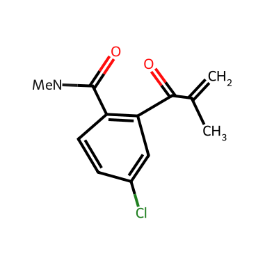 C=C(C)C(=O)c1cc(Cl)ccc1C(=O)NC